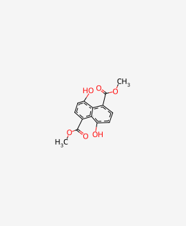 COC(=O)c1ccc(O)c2c(C(=O)OC)ccc(O)c12